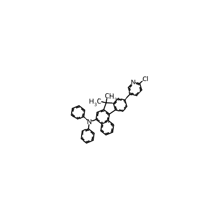 CC1(C)c2cc(-c3ccc(Cl)nc3)ccc2-c2c1cc(N(c1ccccc1)c1ccccc1)c1ccccc21